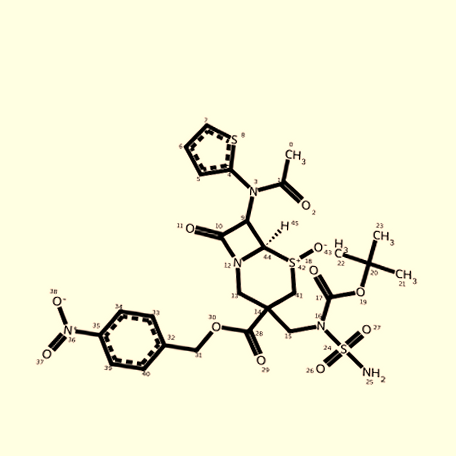 CC(=O)N(c1cccs1)C1C(=O)N2CC(CN(C(=O)OC(C)(C)C)S(N)(=O)=O)(C(=O)OCc3ccc([N+](=O)[O-])cc3)C[S+]([O-])[C@H]12